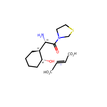 N[C@H](C(=O)N1CCSC1)[C@@H]1CCCC[C@H]1O.O=C(O)/C=C/C(=O)O